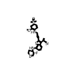 C=C(C#N)c1c(C#CCNc2ccc(P(C)(C)=O)cc2OC)sc2c(NC3CCN(C)C[C@H]3F)cccc12